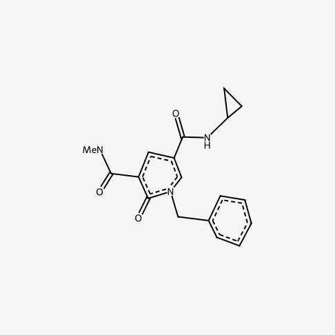 CNC(=O)c1cc(C(=O)NC2CC2)cn(Cc2ccccc2)c1=O